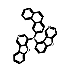 c1ccc2c(c1)ccc1ccc(N(c3cncc4c3oc3ccccc34)c3cccc4oc5ccncc5c34)cc12